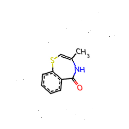 CC1=CSc2ccccc2C(=O)N1